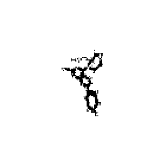 C[C@H]1COCCN1c1nc(Cl)nc2nc(-c3ccc(Cl)cc3)ccc12